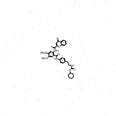 COc1cc(NC(=O)c2cc(=O)c3ccccc3o2)c(C(=O)Nc2ccc(CCNC(=O)OC3CCCCC3)cc2)cc1OC